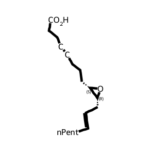 CCCCCC=CC[C@H]1O[C@H]1CCCCCCCC(=O)O